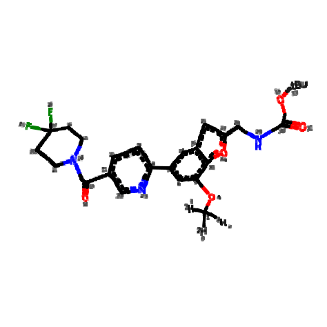 [2H]C([2H])([2H])Oc1cc(-c2ccc(C(=O)N3CCC(F)(F)CC3)cn2)cc2cc(CNC(=O)OC(C)(C)C)oc12